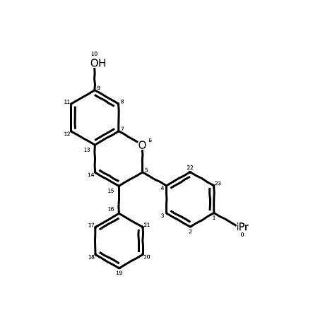 CC(C)c1ccc(C2Oc3cc(O)ccc3C=C2c2ccccc2)cc1